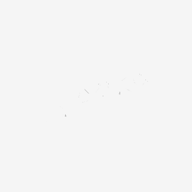 COc1cc(-c2nnc(Nc3ccc4[nH]ncc4c3)[nH]2)ccc1OCC(=O)NC1CCC1